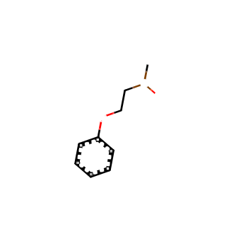 C[S+]([O-])CCOc1ccccc1